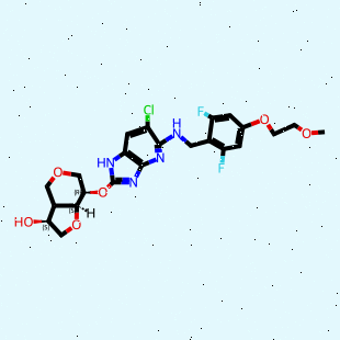 COCCOc1cc(F)c(CNc2nc3nc(O[C@@H]4COCC5[C@H](O)CO[C@@H]54)[nH]c3cc2Cl)c(F)c1